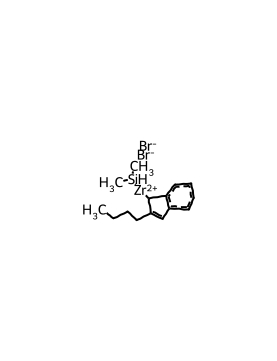 CCCCC1=Cc2ccccc2[CH]1[Zr+2][SiH](C)C.[Br-].[Br-]